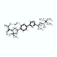 CC(N[S+]([O-])C(C)(C)C)c1ncc(-c2ccc([C@H]3OC(C)(C)N(C(=O)C(F)F)[C@@H]3CF)cc2)s1